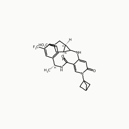 C[C@@H](NC(=O)c1cn(C23CC(C2)C3)c(=O)cc1NC1[C@H]2CN(C(=O)O)C[C@@H]12)c1cccc(C(F)(F)F)c1